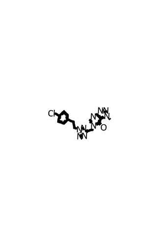 Cn1nnc2ncn(Cc3nnn(CCc4ccc(Cl)cc4)n3)c(=O)c21